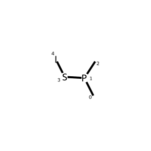 CP(C)SI